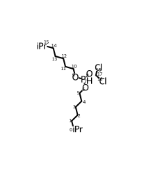 CC(C)CCCCCOP(O)OCCCCCC(C)C.ClCCl